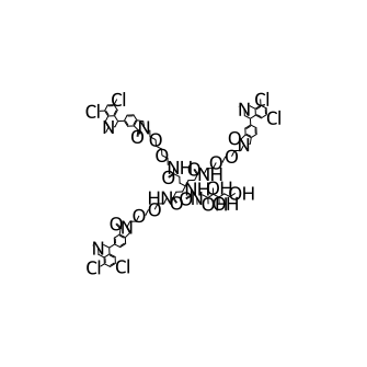 CN1Cc2c(Cl)cc(Cl)cc2C(c2ccc3c(c2)C(=O)N(CCOCCOCCNC(=O)CCC(CCC(=O)NCCOCCOCCN2Cc4ccc(C5CN(C)Cc6c(Cl)cc(Cl)cc65)cc4C2=O)(CCC(=O)NCCOCCOCCN2Cc4ccc(C5CN(C)Cc6c(Cl)cc(Cl)cc65)cc4C2=O)NC(=O)N(C)CC(O)C(O)C(O)CCO)C3)C1